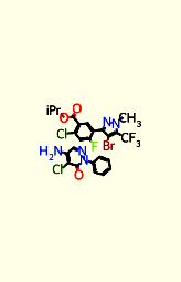 CC(C)OC(=O)c1cc(-c2nn(C)c(C(F)(F)F)c2Br)c(F)cc1Cl.Nc1cnn(-c2ccccc2)c(=O)c1Cl